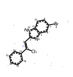 Cl/C(=C\c1nc2cc(Br)ccc2[nH]1)c1ccccc1